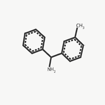 Cc1[c]ccc(C(N)c2ccccc2)c1